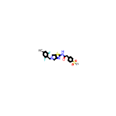 CCS(=O)(=O)c1ccc(CC(=O)Nc2nc3c(s2)CN(Cc2c(F)cc(C#N)cc2F)C3)cc1